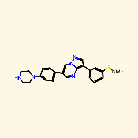 CNSc1cccc(-c2cnn3cc(-c4ccc(N5CCNCC5)cc4)cnc23)c1